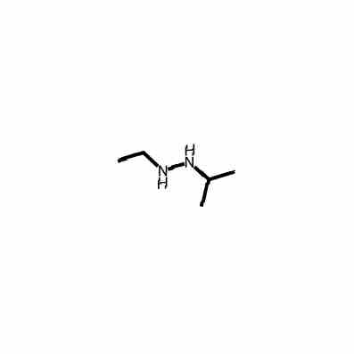 CCNNC(C)C